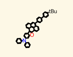 CC(C)(C)c1ccc(-c2ccc(-c3cc4cccc5c6c7ccc(N(c8ccccc8)c8ccccc8)cc7oc6c6cccc3c6c45)cc2)cc1